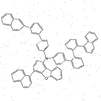 c1cc(-c2ccc(N(c3ccc(-c4ccccc4-c4ccccc4-c4cccc5ccccc45)cc3)c3ccc(-c4cccc5ccccc45)c4oc5ccccc5c34)cc2)cc(-c2ccc3ccccc3c2)c1